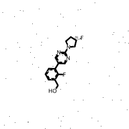 OCc1cccc(-c2cnc(N3CC[C@H](F)C3)nc2)c1F